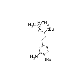 C[SiH](C)OC(CCc1ccc(C(C)(C)C)c(N)c1)C(C)(C)C